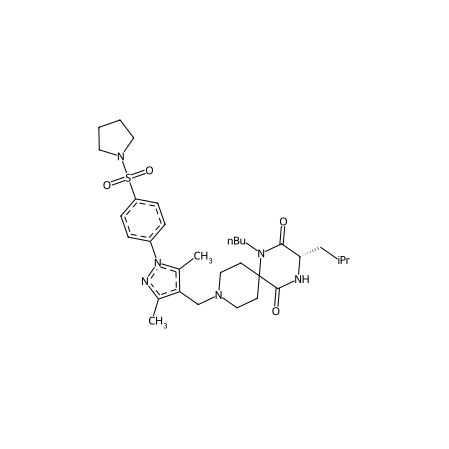 CCCCN1C(=O)[C@H](CC(C)C)NC(=O)C12CCN(Cc1c(C)nn(-c3ccc(S(=O)(=O)N4CCCC4)cc3)c1C)CC2